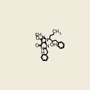 CCCC(C(O)Cc1ccccc1)n1nc(OC)c2c(=O)[nH]c(Cc3ccccc3)nc21